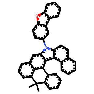 CC1(C)c2ccccc2-c2c3c1cccc3cc1c2c2c3ccccc3ccc2n1-c1ccc2oc3ccccc3c2c1